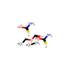 CC.CCOC=O.NC(O)=S.NC(O)=S